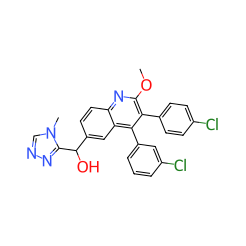 COc1nc2ccc(C(O)c3nncn3C)cc2c(-c2cccc(Cl)c2)c1-c1ccc(Cl)cc1